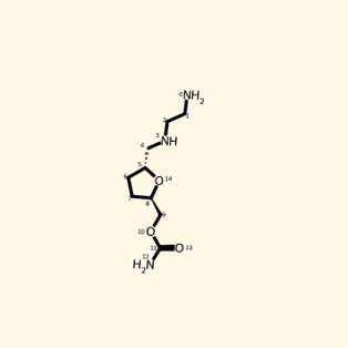 NCCNC[C@H]1CC[C@H](COC(N)=O)O1